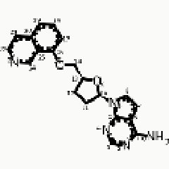 Nc1ncnc2c1ccn2[C@H]1CC[C@@H](COc2cccc3ccncc23)O1